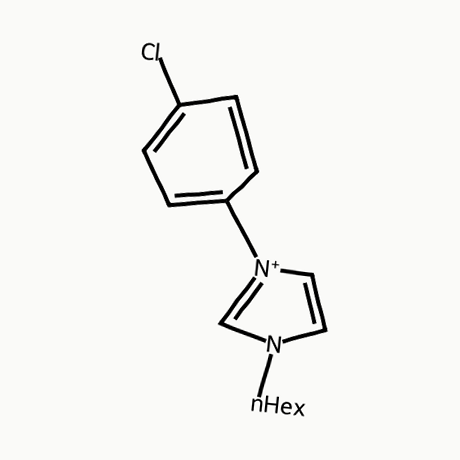 CCCCCCn1cc[n+](-c2ccc(Cl)cc2)c1